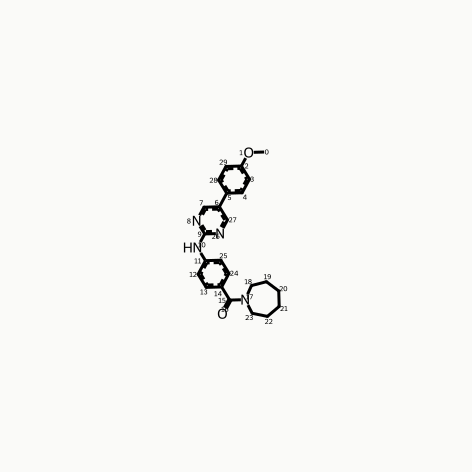 COc1ccc(-c2cnc(Nc3ccc(C(=O)N4CCCCCC4)cc3)nc2)cc1